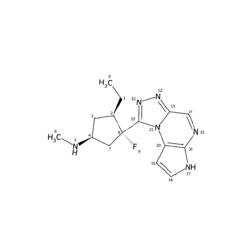 CC[C@@H]1C[C@H](NC)C[C@]1(F)c1nnc2cnc3[nH]ccc3n12